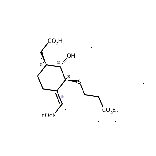 CCCCCCCC/C=C1\CC[C@@H](CC(=O)O)[C@H](O)[C@H]1SCCC(=O)OCC